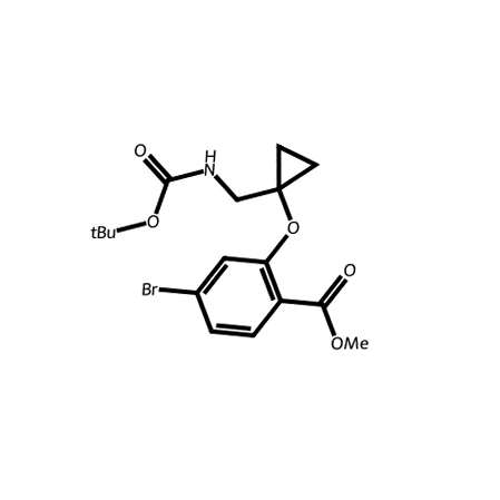 COC(=O)c1ccc(Br)cc1OC1(CNC(=O)OC(C)(C)C)CC1